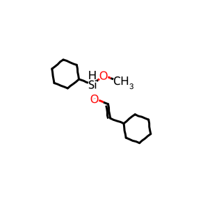 CO[SiH](OC=CC1CCCCC1)C1CCCCC1